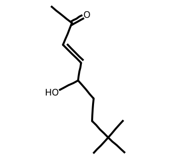 CC(=O)C=CC(O)CCC(C)(C)C